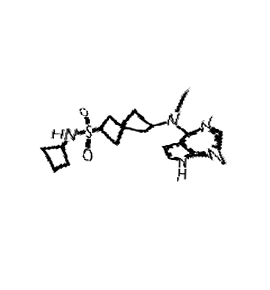 CN(c1ncnc2[nH]ccc12)C1CC2(C1)CC(S(=O)(=O)NC1CCC1)C2